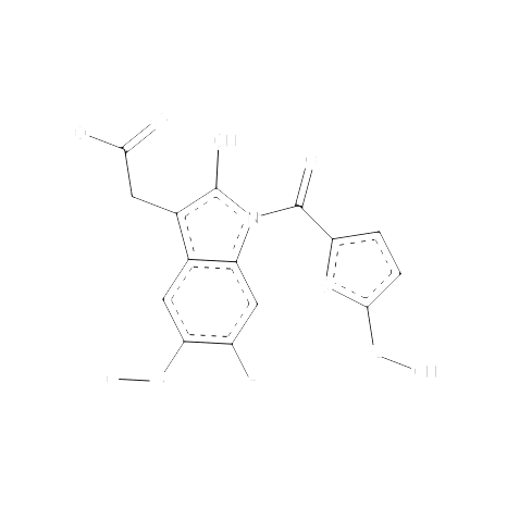 COc1cc2c(CC(=O)O)c(C)n(C(=O)c3ccc(SC)s3)c2cc1F